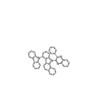 c1ccc(-c2nc3ccccc3nc2-n2c3cccc(-n4c5ccccc5c5ccccc54)c3c3ccc4ccccc4c32)cc1